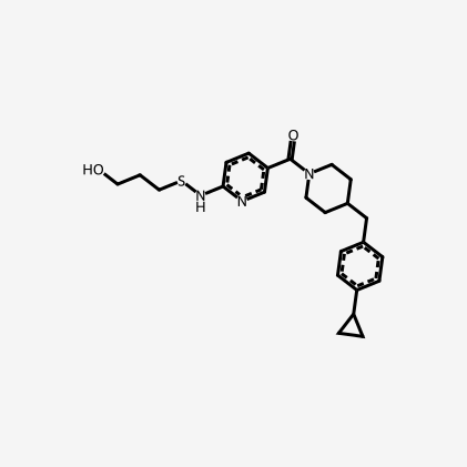 O=C(c1ccc(NSCCCO)nc1)N1CCC(Cc2ccc(C3CC3)cc2)CC1